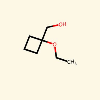 CCOC1(CO)CCC1